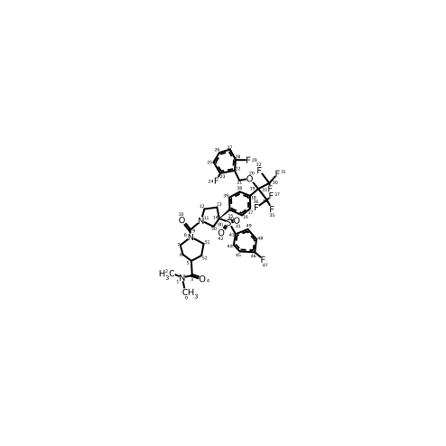 CN(C)C(=O)C1CCN(C(=O)N2CC[C@](c3ccc(C(OCc4c(F)cccc4F)(C(F)(F)F)C(F)(F)F)cc3)(S(=O)(=O)c3ccc(F)cc3)C2)CC1